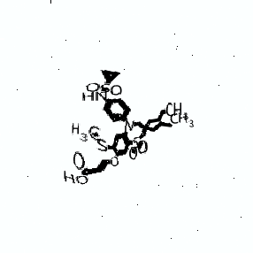 CCCCC1(CCCC)CN(c2ccc(NS(=O)(=O)C3CC3)cc2)c2cc(SC)c(O/C=C/C(=O)O)cc2S(=O)(=O)C1